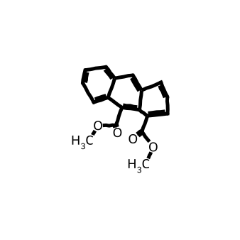 COC(=O)c1cccc2cc3ccccc3c(C(=O)OC)c12